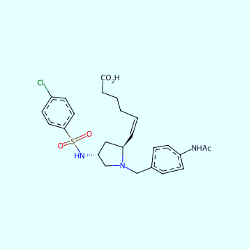 CC(=O)Nc1ccc(CN2C[C@H](NS(=O)(=O)c3ccc(Cl)cc3)C[C@H]2/C=C\CCCC(=O)O)cc1